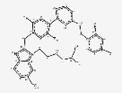 Cc1ccc(COc2cccc(-c3cc(F)c(Cc4nc5ccc(C(=O)O)cc5n4CCOCC(F)F)cc3F)n2)c(F)c1